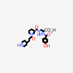 O=C(NC(CNC(=O)[C@@H]1CCCN(C(=O)CCC2CCNCC2)C1)C(=O)O)c1ccc(O)cc1